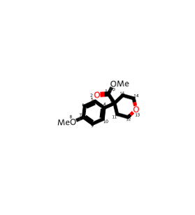 COC(=O)C1(c2ccc(OC)cc2)CCOCC1